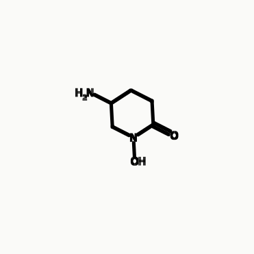 NC1CCC(=O)N(O)C1